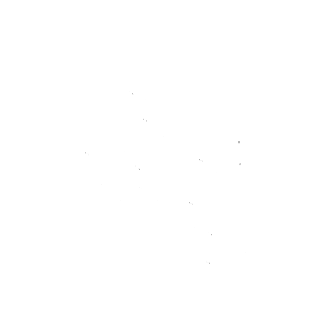 C[C@@H](O)C(=O)N1CCC(N2C(=O)N(C)Cc3cnc4ccc(-c5ccc(-n6cccn6)nc5)nc4c32)CC1